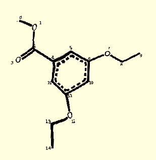 [CH2]OC(=O)c1cc(OCC)cc(OCC)c1